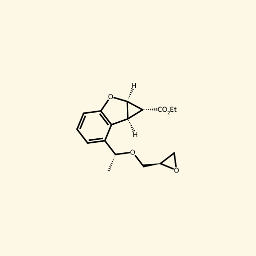 CCOC(=O)[C@H]1[C@@H]2Oc3cccc([C@@H](C)OC[C@H]4CO4)c3[C@@H]21